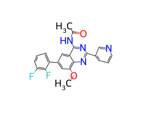 COc1cc(-c2cccc(F)c2F)cc2c(NC(C)=O)nc(-c3cccnc3)nc12